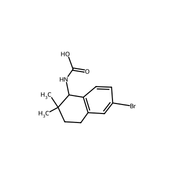 CC1(C)CCc2cc(Br)ccc2C1NC(=O)O